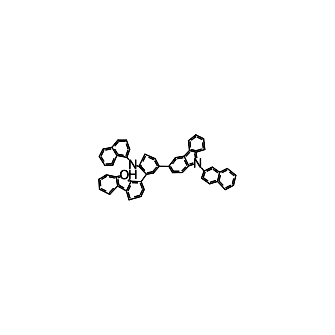 c1ccc2cc(-n3c4ccccc4c4cc(-c5ccc(Nc6cccc7ccccc67)c(-c6cccc7c6oc6ccccc67)c5)ccc43)ccc2c1